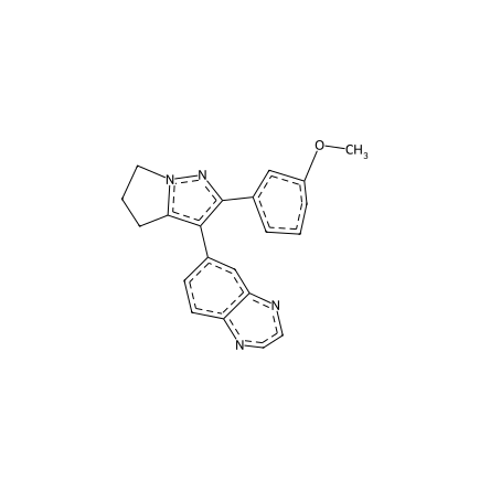 COc1cccc(-c2nn3c(c2-c2ccc4nccnc4c2)CCC3)c1